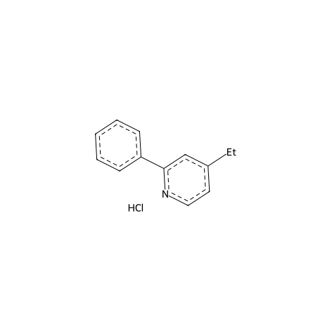 CCc1ccnc(-c2ccccc2)c1.Cl